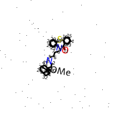 CO[C@@H](CN(C)CCCCN1C(=O)c2ccccc2Sc2ccccc21)C12CC3CC(CC(C3)C1)C2